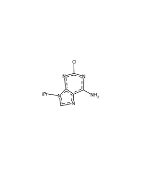 CC(C)n1cnc2c(N)nc(Cl)nc21